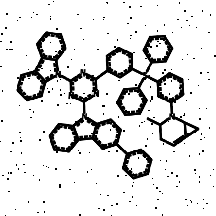 CC1CC=C2CC2N1c1cccc(S(c2ccccc2)(c2ccccc2)c2cccc(-c3nc(-n4c5ccccc5c5ccccc54)nc(-n4c5ccccc5c5cc(-c6ccccc6)ccc54)n3)c2)c1